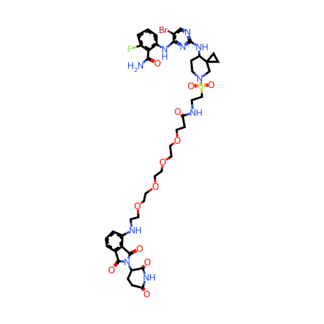 NC(=O)c1c(F)cccc1Nc1nc(NC2CCN(S(=O)(=O)CCNC(=O)CCOCCOCCOCCOCCNc3cccc4c3C(=O)N(C3CCC(=O)NC3=O)C4=O)CC23CC3)ncc1Br